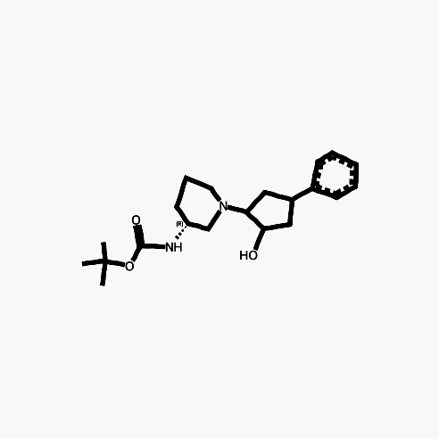 CC(C)(C)OC(=O)N[C@@H]1CCCN(C2CC(c3ccccc3)CC2O)C1